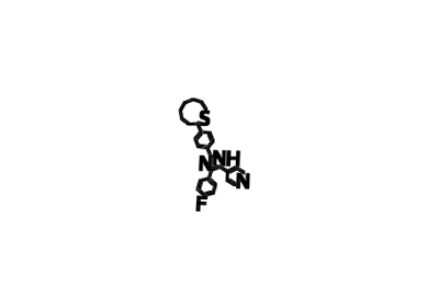 Fc1ccc(-c2nc(-c3ccc(C4CCCCCCCS4)cc3)[nH]c2-c2ccncc2)cc1